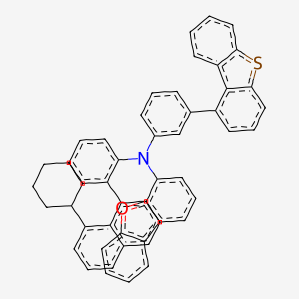 c1cc(-c2cccc3sc4ccccc4c23)cc(N(c2ccccc2-c2cccc3cccc(C4CCCCC4)c23)c2cccc3c2oc2ccccc23)c1